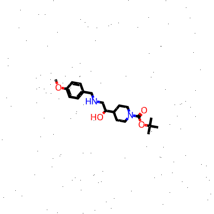 COc1ccc(CNCC(O)C2CCN(C(=O)OC(C)(C)C)CC2)cc1